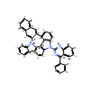 c1ccc(-c2nc(-n3c4cccc5c6cc7ccccc7cc6n6c7ccccc7c7ccc3c(c54)c76)nc3ccccc23)cc1